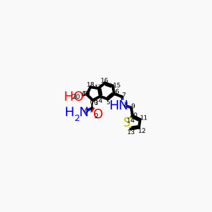 NC(=O)[C@@H]1c2cc(CNCc3cccs3)ccc2C[C@H]1O